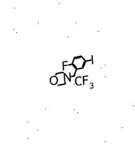 Fc1ccc(I)cc1C(N1CCOCC1)C(F)(F)F